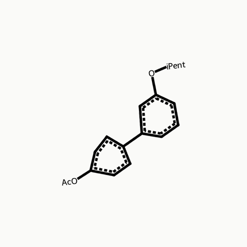 CCCC(C)Oc1cccc(-c2ccc(OC(C)=O)cc2)c1